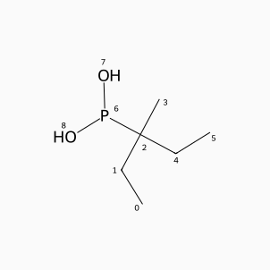 CCC(C)(CC)P(O)O